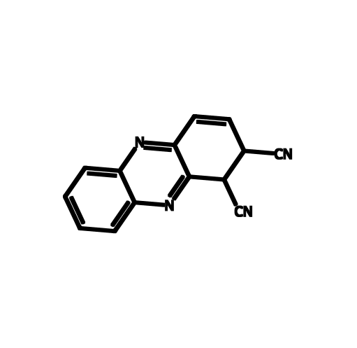 N#CC1C=Cc2nc3ccccc3nc2C1C#N